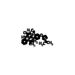 CCOc1cc(OC2CCN(C(C)C)C2)ccc1Nc1ncc(Cl)c(Nc2ccccc2SN(C)C)n1